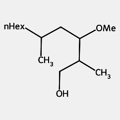 CCCCCCC(C)CC(OC)C(C)CO